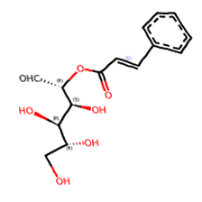 O=C[C@H](OC(=O)/C=C/c1ccccc1)[C@@H](O)[C@H](O)[C@H](O)CO